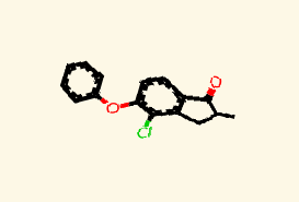 CC1Cc2c(ccc(Oc3ccccc3)c2Cl)C1=O